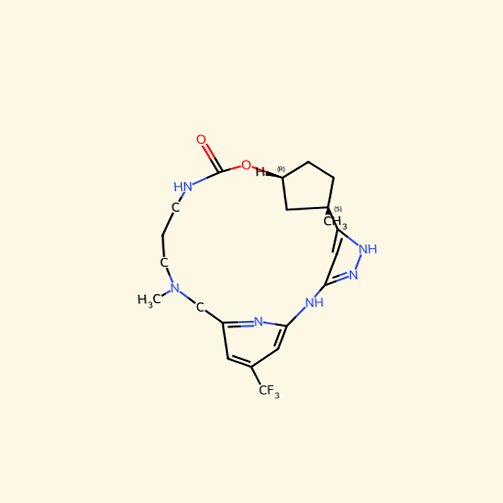 CN1CCCNC(=O)O[C@@H]2CC[C@@](C)(C2)c2cc(n[nH]2)Nc2cc(C(F)(F)F)cc(n2)C1